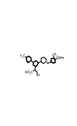 COc1ccc(CN2CCCC(c3cc(-c4ccc(C(F)(F)F)cc4)cc(C(CC(C)C)C(=O)O)c3)C2)cc1C(F)(F)F